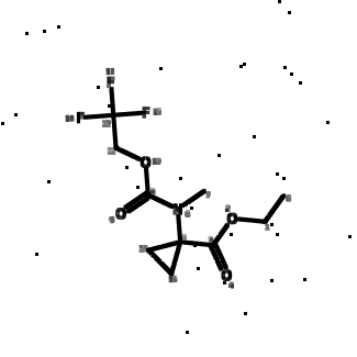 CCOC(=O)C1(N(C)C(=O)OCC(F)(F)F)CC1